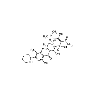 CN(C)[C@@H]1C(O)=C(C(N)=O)C2(O)O[C@@]23C(O)=C2C(=O)c4c(O)cc(C5CCCCN5)c(C(F)(F)F)c4C[C@H]2C[C@@H]13